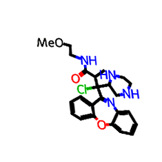 COCCNC(=O)C(C)C(Cl)(C1=Nc2ccccc2Oc2ccccc21)C1CNCCN1